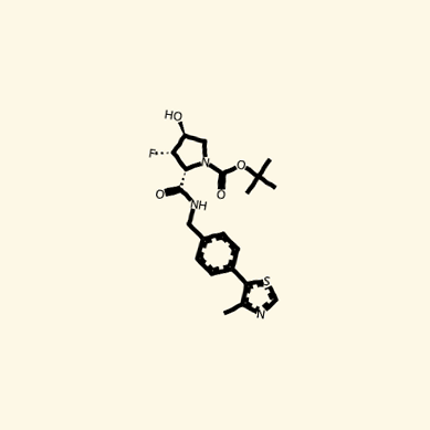 Cc1ncsc1-c1ccc(CNC(=O)[C@@H]2[C@H](F)[C@@H](O)CN2C(=O)OC(C)(C)C)cc1